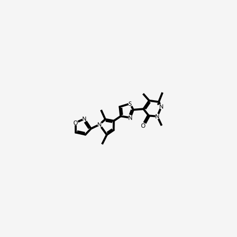 Cc1nn(C)c(=O)c(-c2nc(-c3cc(C)n(-c4ccon4)c3C)cs2)c1C